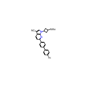 CNC1CC(n2cc(C#N)c3ccc(-c4ccc(-c5ccc(C(C)=O)cc5)cc4)nc32)C1